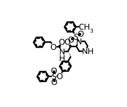 Cc1ccccc1S(=O)(=O)N1CCNCC1C(=O)[C@H](Cc1ccc(OS(=O)(=O)c2ccccc2)cc1)NC(=O)OCc1ccccc1